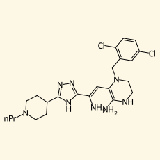 CCCN1CCC(c2nnc(/C(N)=C/C3=C(N)NCCN3Cc3cc(Cl)ccc3Cl)[nH]2)CC1